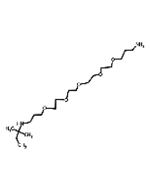 CCC(C)(C)NCCCOCCOCCOCCOCCOCCCN